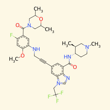 COc1cc(F)c(C(=O)N2CC(C)OC(C)C2)cc1NCC#Cc1cc(C(=O)N[C@H]2CCN(C)C[C@@H]2C)c2ncn(CC(F)(F)F)c2c1